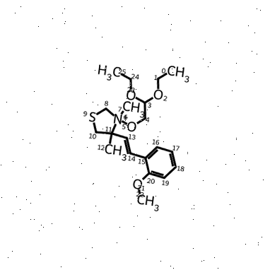 CCOC(CO[N+]1(C)CSCC1(C)/C=C/c1ccccc1OC)OCC